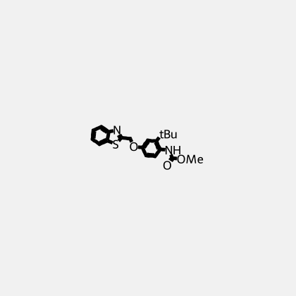 COC(=O)Nc1ccc(OCc2nc3ccccc3s2)cc1C(C)(C)C